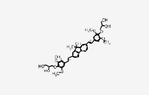 COc1cc(/C=C/c2ccc3c(c2)C(C)(C)c2cc(/C=C/c4cc(OC)c(OCC(O)CO)c(OC)c4)ccc2-3)cc(OC)c1OCC(O)CO